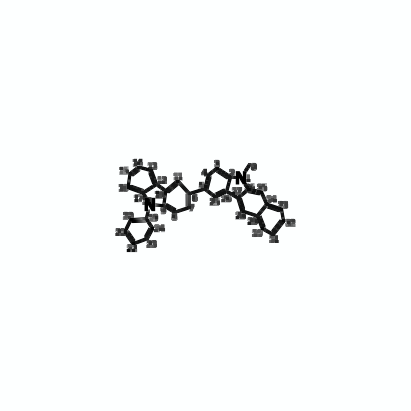 Cn1c2ccc(-c3ccc4c(c3)c3ccccc3n4-c3ccccc3)cc2c2cc3ccccc3cc21